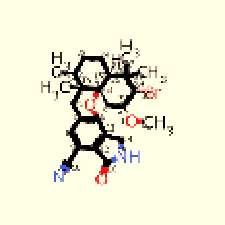 CO[C@@H]1C[C@@]23Oc4c(cc(C#N)c5c4CNC5=O)C[C@]2(C)[C@@H](C)CC[C@H]3C(C)(C)[C@H]1Br